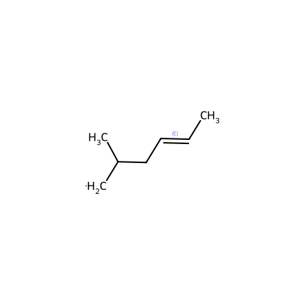 [CH2]C(C)C/C=C/C